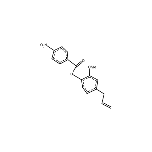 C=CCc1ccc(OC(=O)c2ccc([N+](=O)[O-])cc2)c(OC)c1